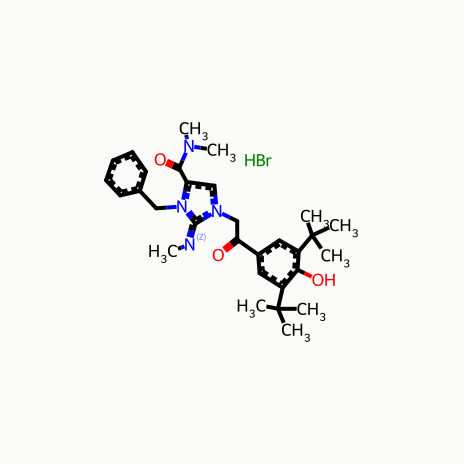 Br.C/N=c1/n(CC(=O)c2cc(C(C)(C)C)c(O)c(C(C)(C)C)c2)cc(C(=O)N(C)C)n1Cc1ccccc1